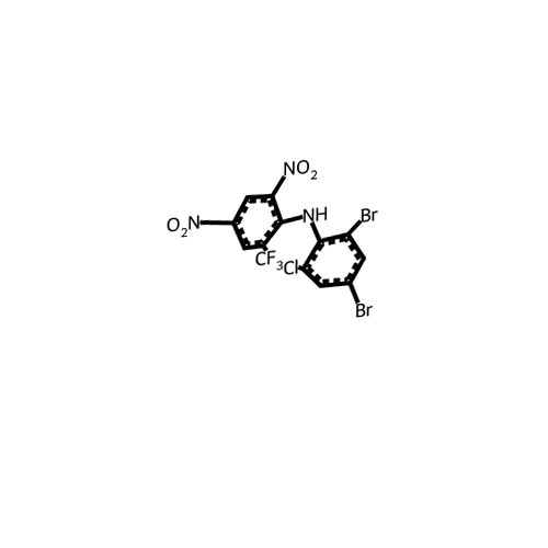 O=[N+]([O-])c1cc([N+](=O)[O-])c(Nc2c(Cl)cc(Br)cc2Br)c(C(F)(F)F)c1